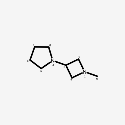 CN1CC(N2C[CH]CC2)C1